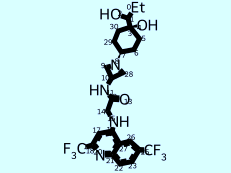 CCC(O)[C@]1(O)CC[C@H](N2CC(NC(=O)CNc3cc(C(F)(F)F)nc4ccc(C(F)(F)F)cc34)C2)CC1